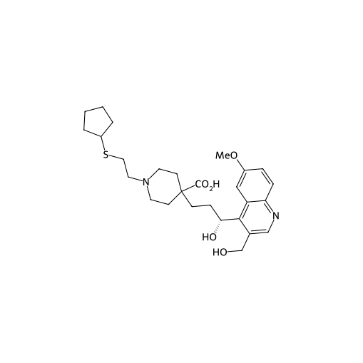 COc1ccc2ncc(CO)c([C@H](O)CCC3(C(=O)O)CCN(CCSC4CCCC4)CC3)c2c1